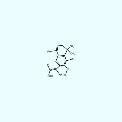 CCOc1c(C(=C(F)C=O)C(C)C)cc2c(c1Br)C(C)(C)CC=C2C(C)C